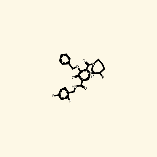 O=C(NCc1ccc(F)cc1F)c1cn2c(c(OCc3ccccc3)c1=O)C(=O)N1CCCC(F)[C@@H]2C1